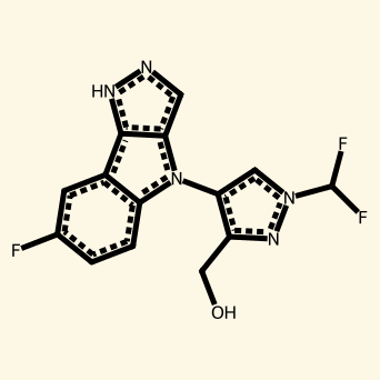 OCc1nn(C(F)F)cc1-n1c2ccc(F)cc2c2[nH]ncc21